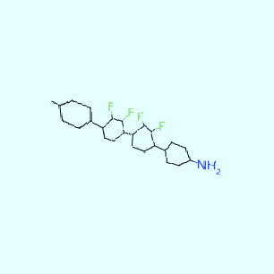 CC1CCC(C2CCC(C3CCC(C4CCC(N)CC4)C(F)C3F)C(F)C2F)CC1